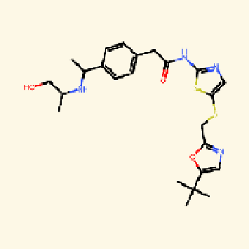 CC(CO)NC(C)c1ccc(CC(=O)Nc2ncc(SCc3ncc(C(C)(C)C)o3)s2)cc1